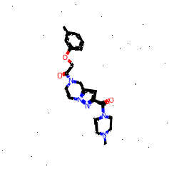 Cc1cccc(OCC(=O)N2CCn3nc(C(=O)N4CCN(C)CC4)cc3C2)c1